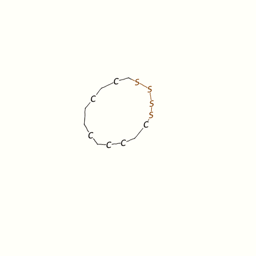 C1CCCCCCSSSSCCCCC1